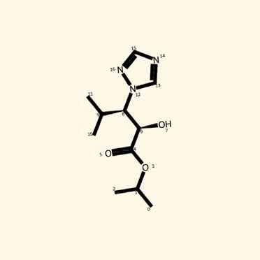 CC(C)OC(=O)[C@H](O)[C@@H](C(C)C)n1cncn1